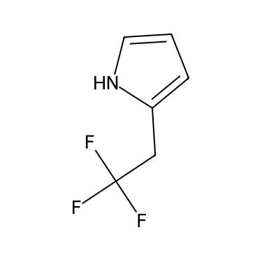 FC(F)(F)Cc1ccc[nH]1